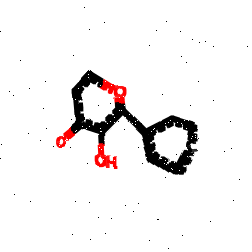 O=c1ccoc(-c2ccccc2)c1O